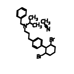 CC#N.CC(C)N(CCCc1ccc(C2C(Br)CCCC2Br)cc1)Cc1ccccc1